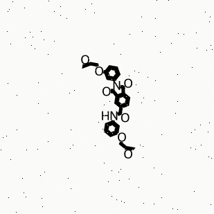 O=C(Nc1cccc(OCC2CO2)c1)c1ccc2c(c1)C(=O)N(c1cccc(OCC3CO3)c1)C2=O